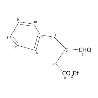 CCOC(=O)CC(C=O)Cc1ccccc1